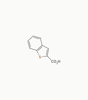 O=C(O)c1cc2[c]cccc2s1